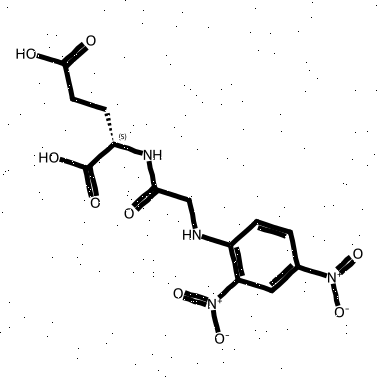 O=C(O)CC[C@H](NC(=O)CNc1ccc([N+](=O)[O-])cc1[N+](=O)[O-])C(=O)O